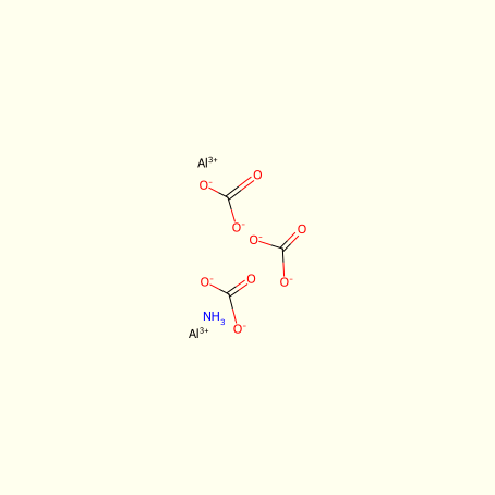 N.O=C([O-])[O-].O=C([O-])[O-].O=C([O-])[O-].[Al+3].[Al+3]